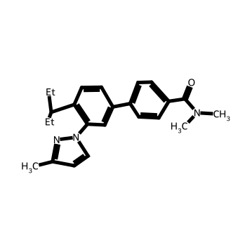 CCC(CC)c1ccc(-c2ccc(C(=O)N(C)C)cc2)cc1-n1ccc(C)n1